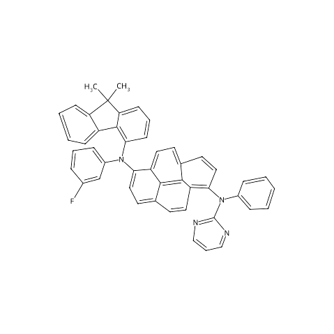 CC1(C)c2ccccc2-c2c(N(c3cccc(F)c3)c3ccc4ccc5c(N(c6ccccc6)c6ncccn6)ccc6ccc3c4c65)cccc21